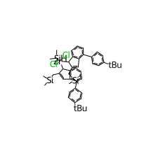 C[SiH](C)[Zr]([Cl])([Cl])([CH]1C(C[Si](C)(C)C)=Cc2c(-c3ccc(C(C)(C)C)cc3)cccc21)[CH]1C(C[Si](C)(C)C)=Cc2c(-c3ccc(C(C)(C)C)cc3)cccc21